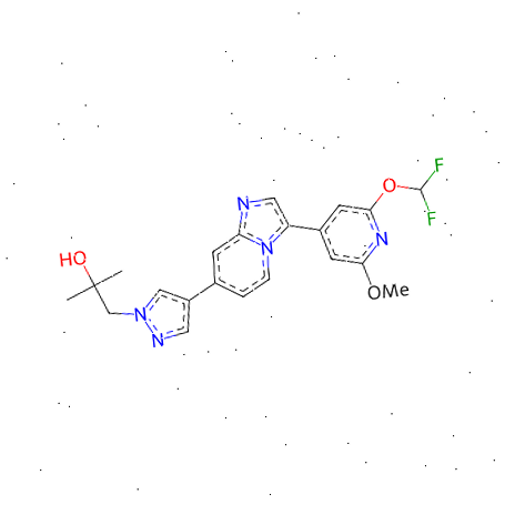 COc1cc(-c2cnc3cc(-c4cnn(CC(C)(C)O)c4)ccn23)cc(OC(F)F)n1